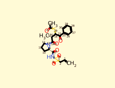 C=CCS(=O)(=O)NC(=O)[C@@H]1CCCN1C(=O)[C@H](C)C(SC(C)=O)C(=O)c1ccccc1